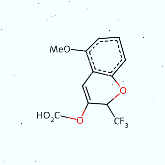 COc1cccc2c1C=C(OC(=O)O)C(C(F)(F)F)O2